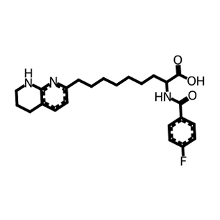 O=C(NC(CCCCCCCc1ccc2c(n1)NCCC2)C(=O)O)c1ccc(F)cc1